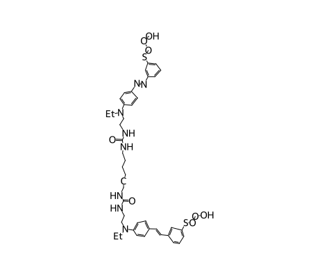 CCN(CCNC(=O)NCCCCCCNC(=O)NCCN(CC)c1ccc(/N=N/c2cccc(SOOO)c2)cc1)c1ccc(/C=C/c2cccc(SOOO)c2)cc1